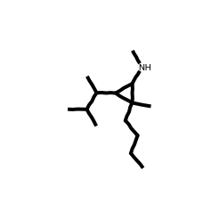 CCCCC1(C)C(NC)C1C(C)C(C)C